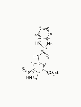 CCOC(=O)C=CC(C[C@@H]1CCNC1=O)NC(=O)c1nc2ccccc2[nH]1